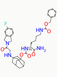 NC(=O)[C@H](CCCCNC(=O)OCc1ccccc1)NC(=O)OC12CC3CC(CC(NCC(=O)N4Cc5ccc(F)cc5C4)(C3)C1)C2